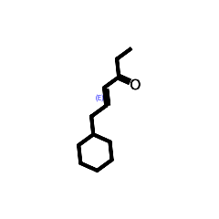 CCC(=O)/C=C/CC1CCCCC1